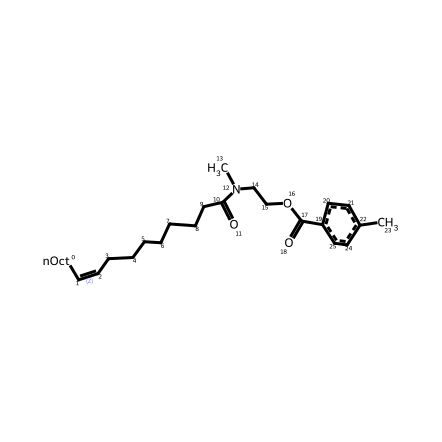 CCCCCCCC/C=C\CCCCCCCC(=O)N(C)CCOC(=O)c1ccc(C)cc1